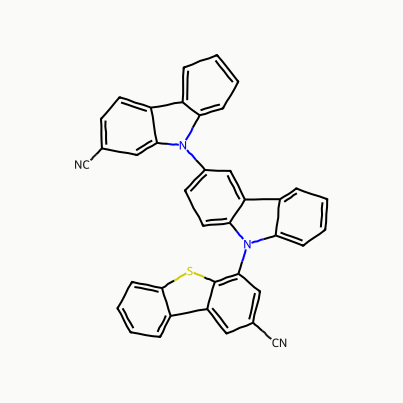 N#Cc1cc(-n2c3ccccc3c3cc(-n4c5ccccc5c5ccc(C#N)cc54)ccc32)c2sc3ccccc3c2c1